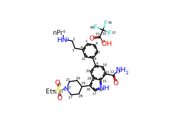 CCCNCCc1cccc(-c2cc(C(N)=O)c3[nH]cc(C4CCN(S(=O)(=O)CC)CC4)c3c2)c1.O=C(O)C(F)(F)F